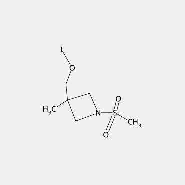 CC1(COI)CN(S(C)(=O)=O)C1